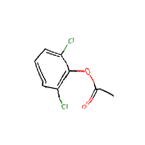 CC(=O)Oc1c(Cl)cccc1Cl